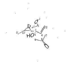 C1CO1.C=CCO.CC(C)=O.CC1CO1